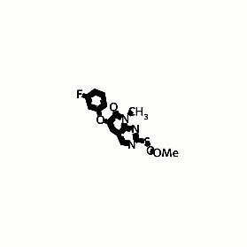 COOSc1ncc2cc(Oc3cccc(F)c3)c(=O)n(C)c2n1